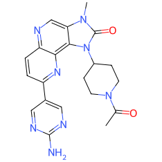 CC(=O)N1CCC(n2c(=O)n(C)c3cnc4ccc(-c5cnc(N)nc5)nc4c32)CC1